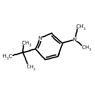 CN(C)c1ccc(C(C)(C)C)nc1